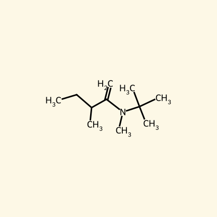 C=C(C(C)CC)N(C)C(C)(C)C